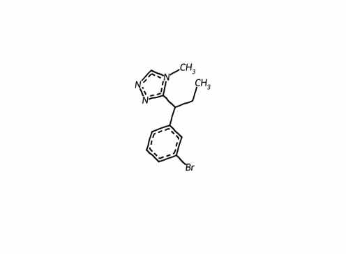 CCC(c1cccc(Br)c1)c1nncn1C